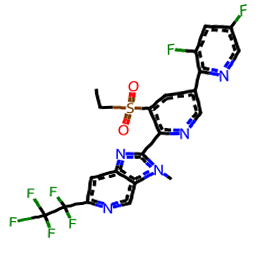 CCS(=O)(=O)c1cc(-c2ncc(F)cc2F)cnc1-c1nc2cc(C(F)(F)C(F)(F)F)ncc2n1C